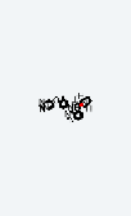 Cc1cc(Nc2ncnc3cccc(OC4C[C@H]5CC[C@@H](C4)N5CC(F)F)c23)ccc1Oc1ccn2ncnc2c1